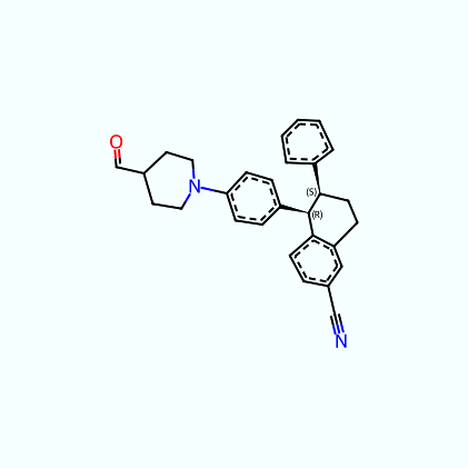 N#Cc1ccc2c(c1)CC[C@H](c1ccccc1)[C@@H]2c1ccc(N2CCC(C=O)CC2)cc1